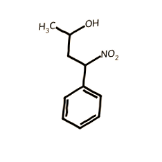 CC(O)CC(c1ccccc1)[N+](=O)[O-]